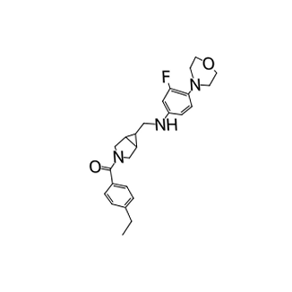 CCc1ccc(C(=O)N2CC3C(CNc4ccc(N5CCOCC5)c(F)c4)C3C2)cc1